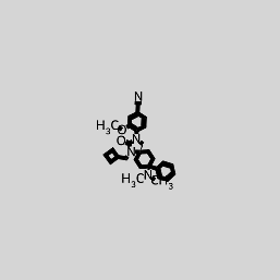 COc1cc(C#N)ccc1N1C[C@]2(CC[C@](c3ccccc3)(N(C)C)CC2)N(CC2CCC2)C1=O